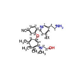 CCC1=CC(CCN)=CN=C(c2ccc(C#N)cc2OC2=CC(N(C)CCO)=C(C)C(C)C(C)=C2)C1